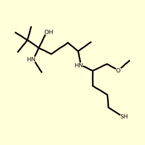 CNC(O)(CCC(C)NC(CCCS)COC)C(C)(C)C